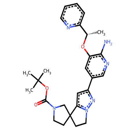 C[C@H](Oc1cc(-c2cc3n(n2)CCC32CCN(C(=O)OC(C)(C)C)C2)cnc1N)c1ccccn1